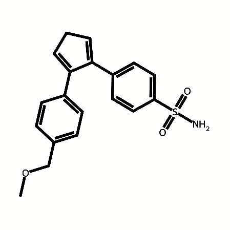 COCc1ccc(C2=CCC=C2c2ccc(S(N)(=O)=O)cc2)cc1